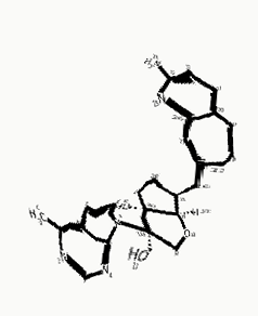 Cc1ncnc2c1ccn2[C@]1(O)CO[C@@H]2[C@H](Cc3ccc4ccc(N)nc4c3)CC[C@@]21O